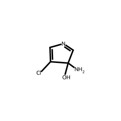 NC1(O)C=NC=C1Cl